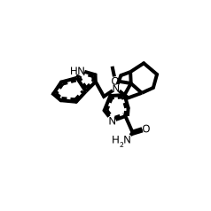 COC1(c2ccnc(C(N)=O)c2)C2CCCC1CN(Cc1c[nH]c3ccccc13)C2